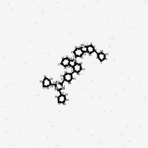 c1ccc(-c2ccc3sc4ccc(-n5c6ccccc6c6c(-c7ccc(-c8nc(-c9ccccc9)nc(-c9ccccc9)n8)cc7)cccc65)cc4c3c2)cc1